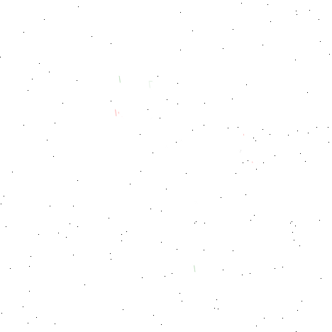 CCc1c(C(=O)O)cc(-c2ccc(C(O)C(F)F)cc2)c2ccc(-c3ccc(F)cc3)cc12